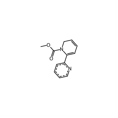 COC(=O)N1CC=CC=C1c1ccccn1